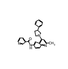 Cc1cc(N2CCC(c3ccccc3)C2)c2cc(NC(=O)c3cccnc3)ccc2n1